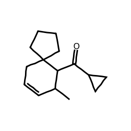 CC1C=CCC2(CCCC2)C1C(=O)C1CC1